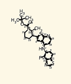 C[C@H]1C(c2cc3c(Nc4ccc5scnc5c4F)ccnc3s2)CCCN1C(=O)OC(C)(C)C